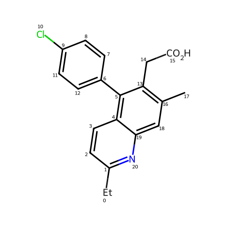 CCc1ccc2c(-c3ccc(Cl)cc3)c(CC(=O)O)c(C)cc2n1